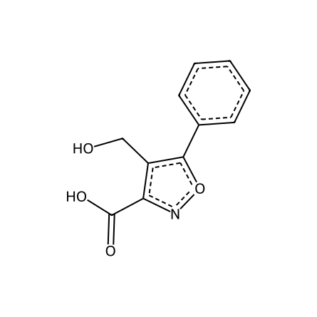 O=C(O)c1noc(-c2ccccc2)c1CO